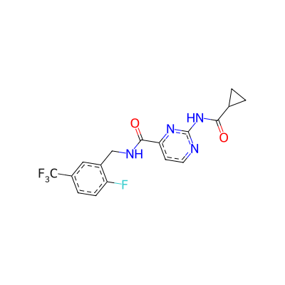 O=C(NCc1cc(C(F)(F)F)ccc1F)c1ccnc(NC(=O)C2CC2)n1